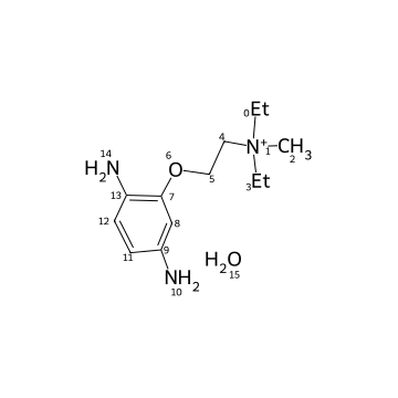 CC[N+](C)(CC)CCOc1cc(N)ccc1N.O